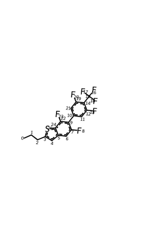 CCCc1cc2cc(F)c(-c3cc(F)c(C(F)(F)F)c(F)c3)c(F)c2s1